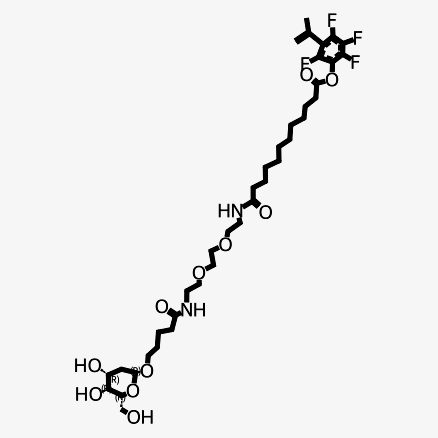 C=C(C)c1c(F)c(F)c(F)c(OC(=O)CCCCCCCCCCC(=O)NCCOCCOCCNC(=O)CCCCO[C@H]2C[C@@H](O)[C@@H](O)[C@@H](CO)O2)c1F